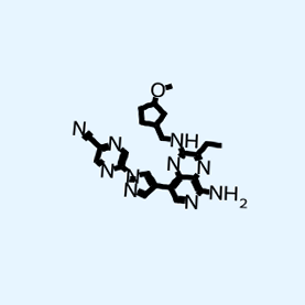 CCc1nc2c(N)ncc(-c3cnn(-c4cnc(C#N)cn4)c3)c2nc1NCC1CCC(OC)C1